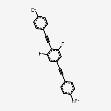 CCCc1ccc(C#Cc2cc(F)c(C#Cc3ccc(CC)cc3)c(F)c2)cc1